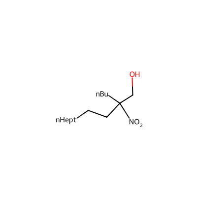 CCCCCCCCCC(CO)(CCCC)[N+](=O)[O-]